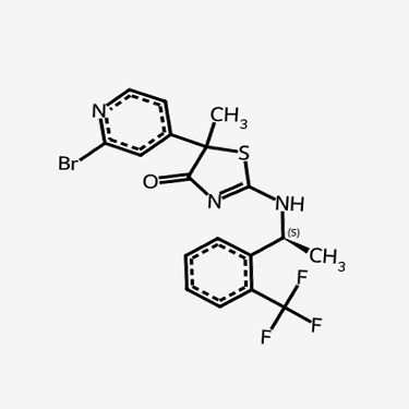 C[C@H](NC1=NC(=O)C(C)(c2ccnc(Br)c2)S1)c1ccccc1C(F)(F)F